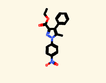 CCOC(=O)c1nn(-c2ccc([N+](=O)[O-])cc2)c(C)c1-c1ccccc1